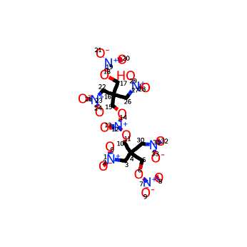 O=[N+]([O-])CC(CO[N+](=O)[O-])(CO[N+](=O)OCC(CO[N+](=O)[O-])(C[N+](=O)[O-])C[N+](=O)O)C[N+](=O)[O-]